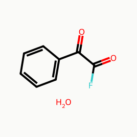 O.O=C(F)C(=O)c1ccccc1